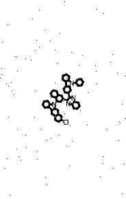 Clc1ccc2cc3c4ccccc4n(-c4cc(-c5nc6ccccc6nc5-c5ccc6c7ccccc7n(-c7ccccc7)c6c5)cc5ccccc45)c3cc2c1